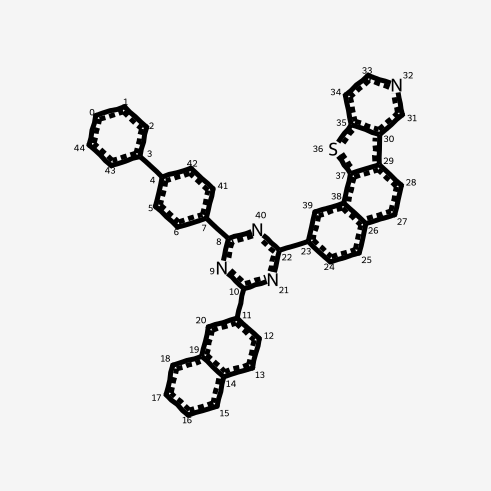 c1ccc(-c2ccc(-c3nc(-c4ccc5ccccc5c4)nc(-c4ccc5ccc6c7cnccc7sc6c5c4)n3)cc2)cc1